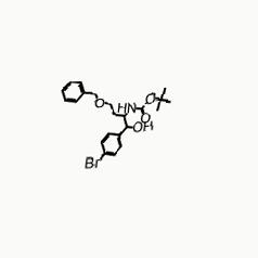 CC(C)(C)OC(=O)NC(CCOCc1ccccc1)C(O)c1ccc(Br)cc1